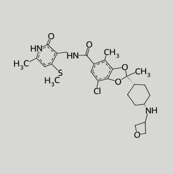 CSc1cc(C)[nH]c(=O)c1CNC(=O)c1cc(Cl)c2c(c1C)OC(C)([C@H]1CC[C@@H](NC3COC3)CC1)O2